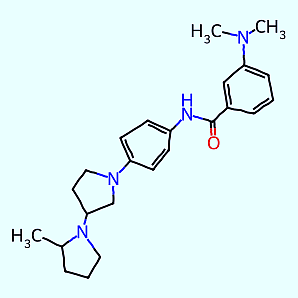 CC1CCCN1C1CCN(c2ccc(NC(=O)c3cccc(N(C)C)c3)cc2)C1